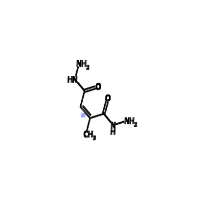 C/C(=C/C(=O)NN)C(=O)NN